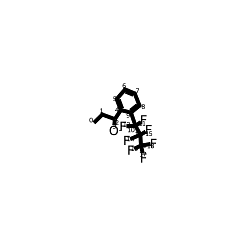 CCC([O])c1ccccc1C(F)(F)C(F)(F)C(F)(F)F